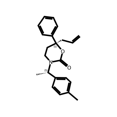 C=CC[C@@]1(c2ccccc2)CCN([C@@H](C)c2ccc(C)cc2)C(=O)O1